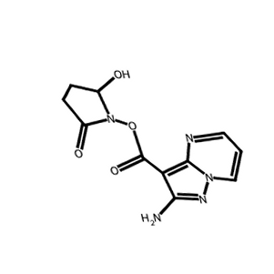 Nc1nn2cccnc2c1C(=O)ON1C(=O)CCC1O